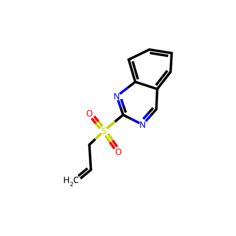 C=CCS(=O)(=O)c1ncc2ccccc2n1